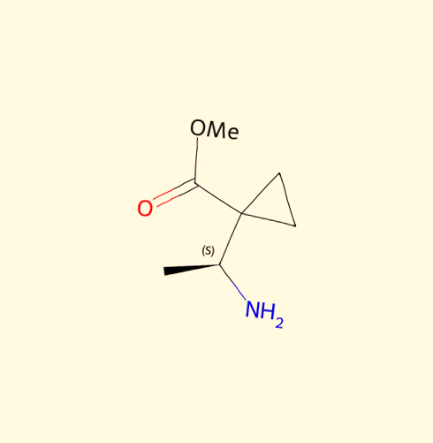 COC(=O)C1([C@H](C)N)CC1